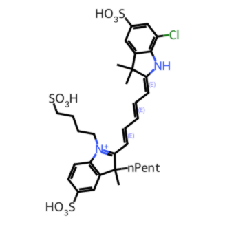 CCCCCC1(C)C(/C=C/C=C/C=C2/Nc3c(Cl)cc(S(=O)(=O)O)cc3C2(C)C)=[N+](CCCCS(=O)(=O)O)c2ccc(S(=O)(=O)O)cc21